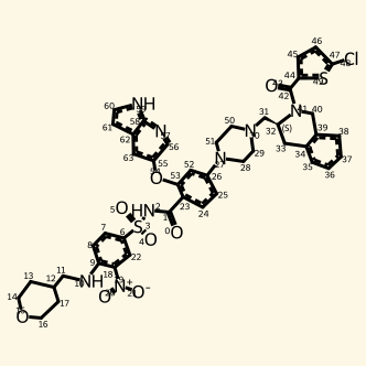 O=C(NS(=O)(=O)c1ccc(NCC2CCOCC2)c([N+](=O)[O-])c1)c1ccc(N2CCN(C[C@@H]3Cc4ccccc4CN3C(=O)c3ccc(Cl)s3)CC2)cc1Oc1cnc2[nH]ccc2c1